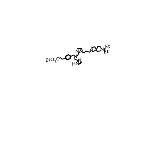 CCOC(=O)CCc1ccc(CN(Cc2ncc[nH]2)Cc2nccn2CCCN2CCC3(CCN(C(CC)CC)CC3)C2)cc1